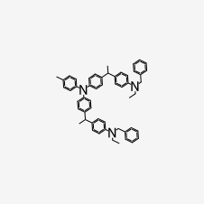 CCN(Cc1ccccc1)c1ccc(C(C)c2ccc(N(c3ccc(C)cc3)c3ccc(C(C)c4ccc(N(CC)Cc5ccccc5)cc4)cc3)cc2)cc1